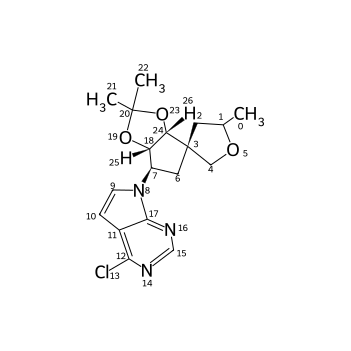 CC1C[C@@]2(CO1)C[C@@H](n1ccc3c(Cl)ncnc31)[C@@H]1OC(C)(C)O[C@@H]12